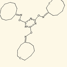 C1CCCCC(=NOc2nc(ON=C3CCCCCCCCC3)nc(ON=C3CCCCCCCCC3)n2)CCCC1